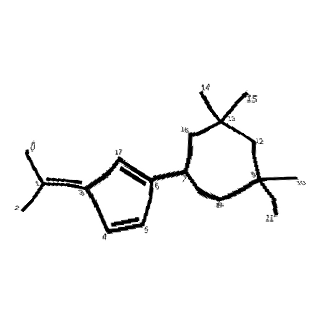 CC(C)=C1C=CC(C2CC(C)(C)CC(C)(C)C2)=C1